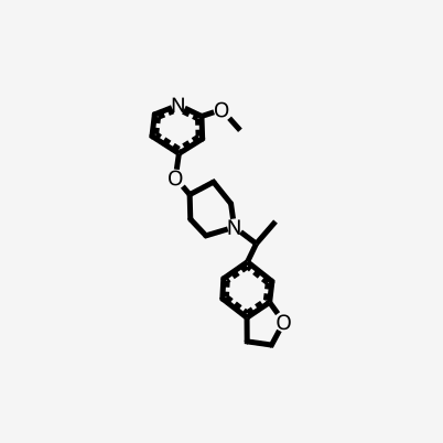 COc1cc(OC2CCN(C(C)c3ccc4c(c3)OCC4)CC2)ccn1